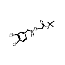 CC(C)(C)OC(=O)CONCc1ccc(Cl)c(Cl)c1